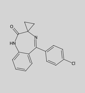 O=C1Nc2ccccc2C(c2ccc(Cl)cc2)=NC12CC2